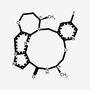 C[C@@H]1COc2ncc(F)cc2CN2c3nc4c(cnn4cc3OCC[C@H]2C)C(=O)N1